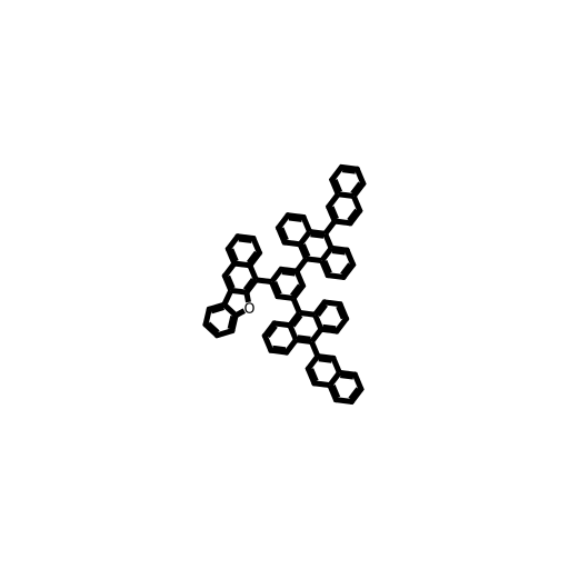 c1ccc2cc(-c3c4ccccc4c(-c4cc(-c5c6ccccc6c(-c6ccc7ccccc7c6)c6ccccc56)cc(-c5c6ccccc6cc6c5oc5ccccc56)c4)c4ccccc34)ccc2c1